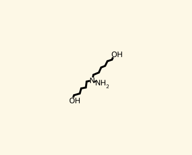 NN(CCCCCO)CCCCCCO